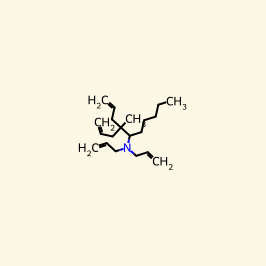 C=CCN(CC=C)C(CCCCC)C(C)(CC=C)CC=C